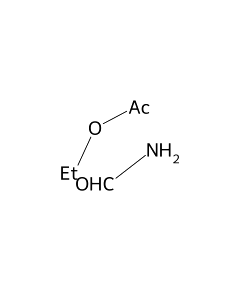 CCOC(C)=O.NC=O